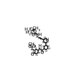 COC(=O)Cn1cc(NC(=O)c2cccc(-c3cncc(C#CCNC(=O)OC(C)(C)C)c3)c2)ccc1=O